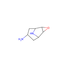 NC1CC2NC(C1)C1OC21